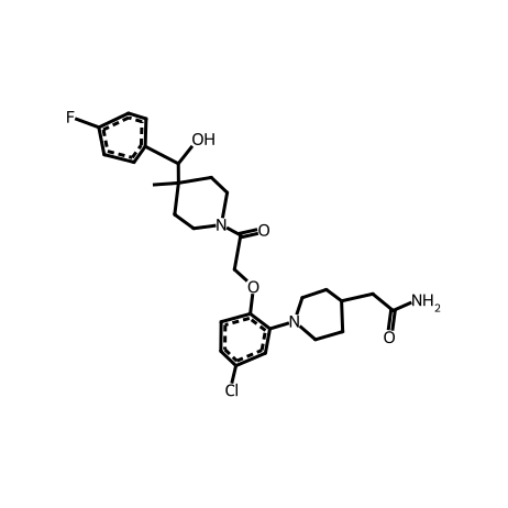 CC1(C(O)c2ccc(F)cc2)CCN(C(=O)COc2ccc(Cl)cc2N2CCC(CC(N)=O)CC2)CC1